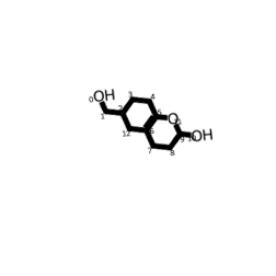 OCC1CCC2=C(CCC(O)O2)C1